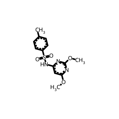 COc1cc(NS(=O)(=O)c2ccc(C)cc2)nc(OC)n1